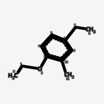 CCOc1ccc(CC)cc1C